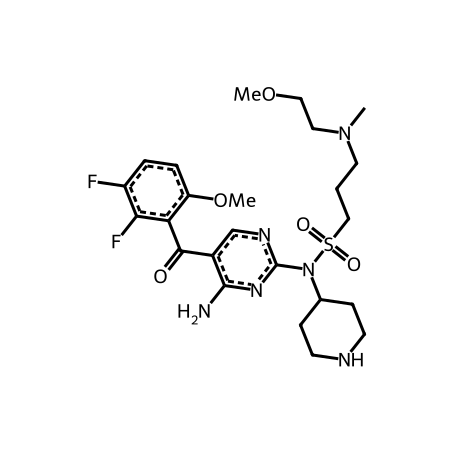 COCCN(C)CCCS(=O)(=O)N(c1ncc(C(=O)c2c(OC)ccc(F)c2F)c(N)n1)C1CCNCC1